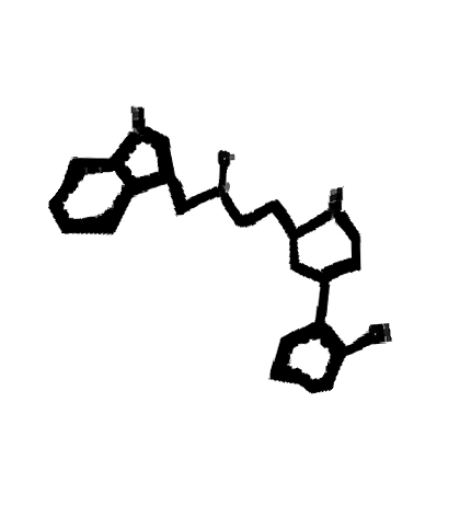 [O-][S+](CCC1CC(c2ccccc2O)=CCN1)Cc1c[nH]c2ccccc12